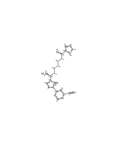 N#Cc1cncc(-c2cnc([C@@H](N)CCCCCC(=O)c3ncco3)[nH]2)n1